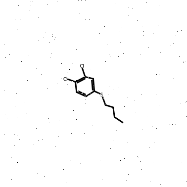 CCCCSc1ccc(Cl)c(Cl)c1